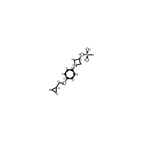 CS(=O)(=O)OC1CN(c2ccc(OCC3CC3)cc2)C1